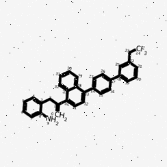 C=C(Cc1ccccc1N)c1ccc(-c2ccc(-c3cccc(CC(F)(F)F)c3)cc2)c2ccccc12